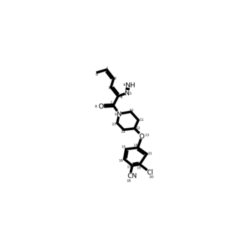 C/C=C\C=C(/N=N)C(=O)N1CCC(Oc2ccc(C#N)c(Cl)c2)CC1